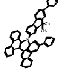 CC1(C)c2cc(-c3ccccc3)ccc2-c2ccc(N(c3cccc(-c4ccccc4)c3)c3c(-c4ccc5ccccc5c4)c4ccccc4c4ccccc34)cc21